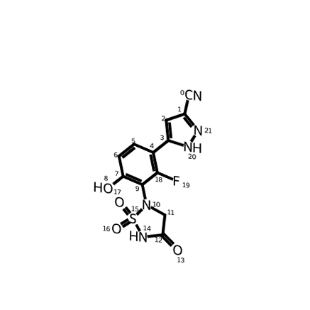 N#Cc1cc(-c2ccc(O)c(N3CC(=O)NS3(=O)=O)c2F)[nH]n1